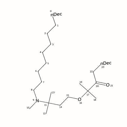 CCCCCCCCCCCCCCCCCCN(C)C(C)(C)CCOC(C)(C)C(=O)CCCCCCCCCCC